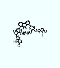 COc1nc(-c2cccc(-c3cccc(-c4cc5c(c(OC)n4)C(N4CC6(CCC(=O)N6)C4)CO5)c3F)c2Cl)cnc1CN1CC2(CCC(=O)N2)C1